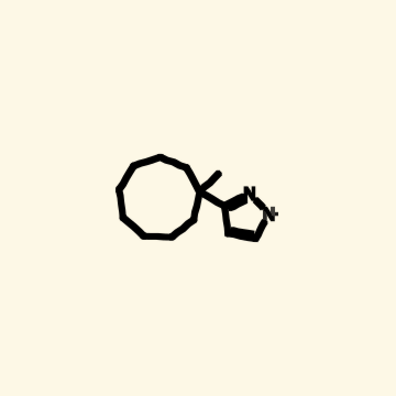 CC1(C2=N[N]C=C2)CCCCCCCC1